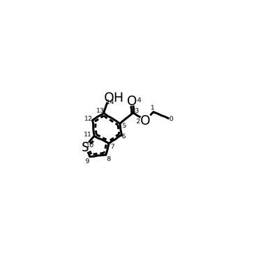 CCOC(=O)c1cc2ccsc2cc1O